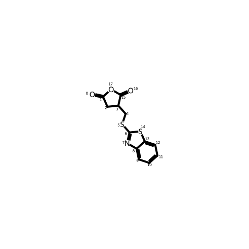 O=C1CC(CSc2nc3ccccc3s2)C(=O)O1